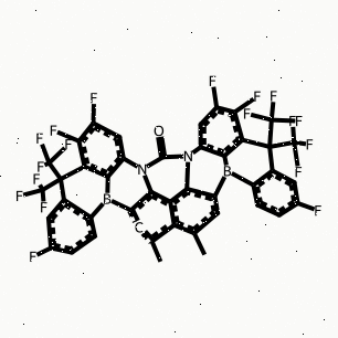 Cc1cc2c3c4c5c(cc(C)c14)B1c4ccc(F)cc4C(C(F)(F)F)(C(F)(F)F)c4c(F)c(F)cc(c41)N5C(=O)N3c1cc(F)c(F)c3c1B2c1ccc(F)cc1C3(C(F)(F)F)C(F)(F)F